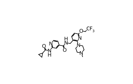 CN1CCN(c2nc(OCC(F)(F)F)ccc2CNC(=O)c2ccnc(NC(=O)C3CC3)c2)CC1